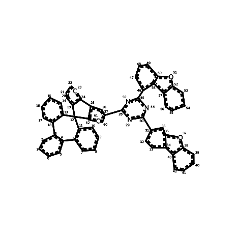 c1ccc2c(c1)-c1ccccc1C1(c3ccccc3-2)c2ccccc2-c2cc(-c3nc(-c4ccc5c(c4)oc4ccccc45)nc(-c4cccc5oc6ccccc6c45)n3)ccc21